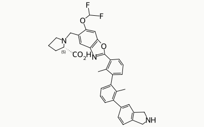 Cc1c(-c2ccc3c(c2)CNC3)cccc1-c1cccc(-c2nc3cc(CN4CCC[C@H]4C(=O)O)c(OC(F)F)cc3o2)c1C